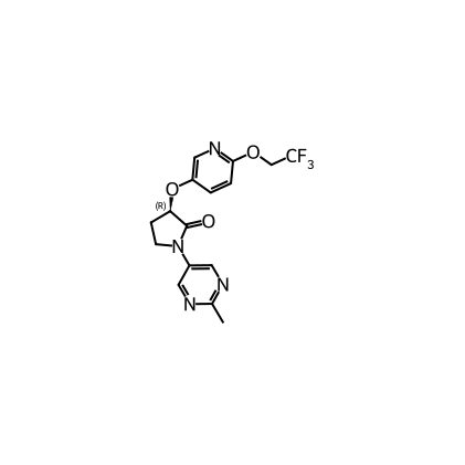 Cc1ncc(N2CC[C@@H](Oc3ccc(OCC(F)(F)F)nc3)C2=O)cn1